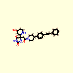 O=C1NC(=O)C(CC(=O)N2CCC(c3ccc(C#Cc4ccccc4)cc3)CC2)(C2CC(O)CCN2)N1